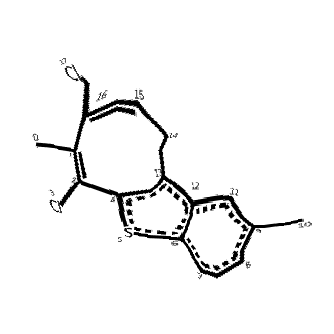 CC1=C(Cl)c2sc3ccc(C)cc3c2CC=C1Cl